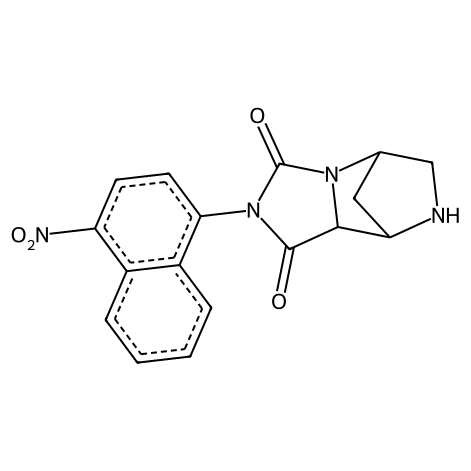 O=C1C2C3CC(CN3)N2C(=O)N1c1ccc([N+](=O)[O-])c2ccccc12